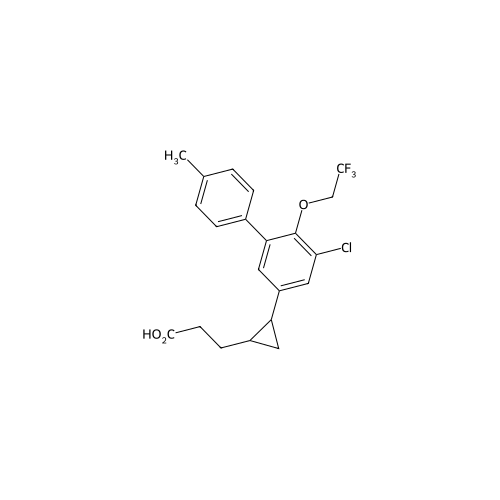 Cc1ccc(-c2cc(C3CC3CCC(=O)O)cc(Cl)c2OCC(F)(F)F)cc1